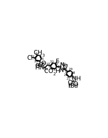 Cc1ccc(S(=O)(=O)NC(Cc2ccc(-c3noc(-c4ccc(NC(=O)OC(C)(C)C)cc4)n3)c(F)c2)C(=O)O)cc1Cl